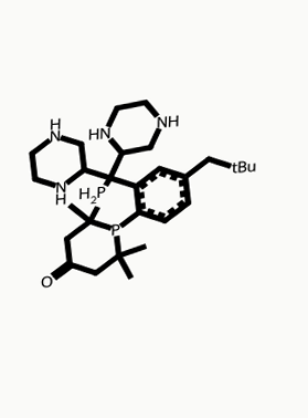 CC(C)(C)Cc1ccc(P2C(C)(C)CC(=O)CC2(C)C)c(C(P)(C2CNCCN2)C2CNCCN2)c1